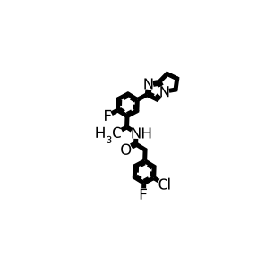 CC(NC(=O)Cc1ccc(F)c(Cl)c1)c1cc(-c2cn3c(n2)CCC3)ccc1F